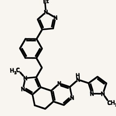 CCn1cc(-c2cccc(Cc3c4c(nn3C)CCc3cnc(Nc5ccn(C)n5)nc3-4)c2)cn1